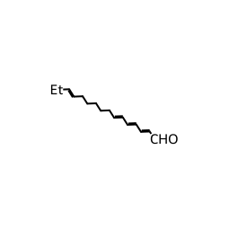 CCC=CCCCCCC=CC=CC=CC=O